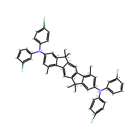 Cc1cc(N(c2ccc(F)cc2)c2cccc(F)c2)cc2c1-c1cc3c(cc1C2(C)C)-c1c(C)cc(N(c2ccc(F)cc2)c2cccc(F)c2)cc1C3(C)C